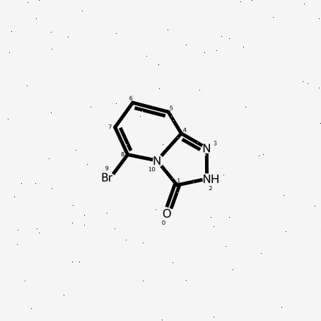 O=c1[nH]nc2cccc(Br)n12